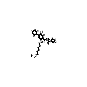 CCCCCCCn1nc(NC(=O)c2cnsc2)c2cc(Cl)c(-c3cc[c]cc3)nc21